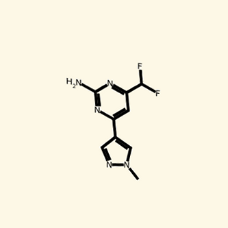 Cn1cc(-c2cc(C(F)F)nc(N)n2)cn1